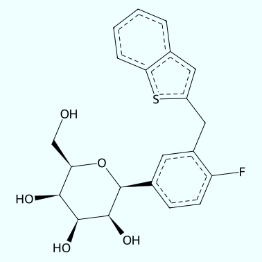 OC[C@H]1O[C@@H](c2ccc(F)c(Cc3cc4ccccc4s3)c2)[C@@H](O)[C@@H](O)[C@H]1O